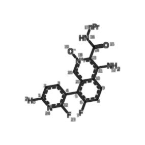 [2H]c1ccc(-c2c(F)ccc3c(N)c(C(=O)NCCC)[n+]([O-])cc23)c(F)n1